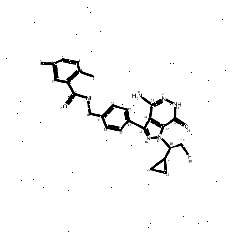 Cc1ccc(C)c(C(=O)NCc2ccc(-c3nn([C@@H](CF)C4CC4)c4c(=O)[nH]nc(N)c34)cc2)c1